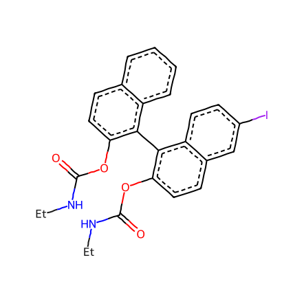 [CH2]CNC(=O)Oc1ccc2ccccc2c1-c1c(OC(=O)NC[CH2])ccc2cc(I)ccc12